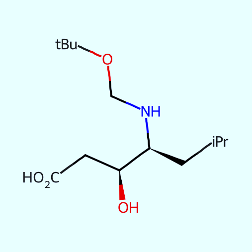 CC(C)C[C@H](NCOC(C)(C)C)[C@@H](O)CC(=O)O